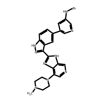 CC(C)Nc1cncc(-c2ccc3[nH]nc(-c4nc5c(N6CCN(C)CC6)cncc5[nH]4)c3c2)c1